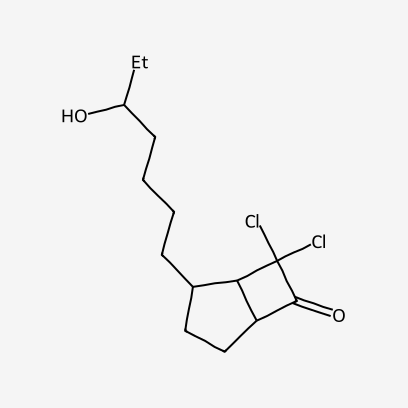 CCC(O)CCCCC1CCC2C(=O)C(Cl)(Cl)C12